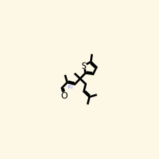 CC(C)=CCC(C)(/C=C(\C)C=O)c1ccc(C)s1